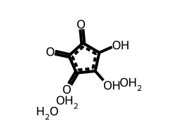 O.O.O.O=c1c(O)c(O)c(=O)c1=O